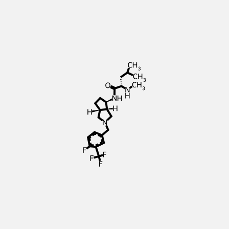 CN[C@@H](CC(C)C)C(=O)N[C@@H]1CC[C@H]2CN(Cc3ccc(F)c(C(F)(F)F)c3)C[C@H]21